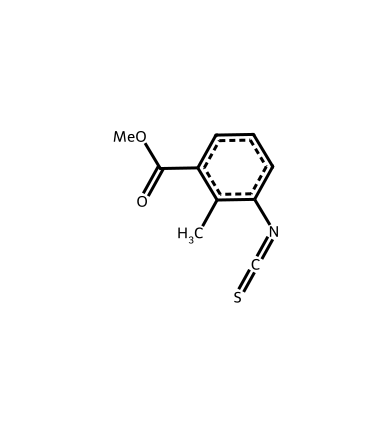 COC(=O)c1cccc(N=C=S)c1C